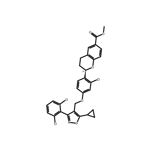 COC(=O)c1ccc2c(c1)CC[C@H](c1ccc(OCc3c(-c4c(Cl)cccc4Cl)noc3C3CC3)cc1Cl)O2